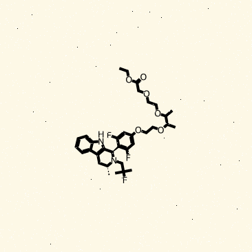 CCOC(=O)COCCOC(C)C(C)OCCOc1cc(F)c([C@@H]2c3[nH]c4ccccc4c3C[C@@H](C)N2CC(C)(C)F)c(F)c1